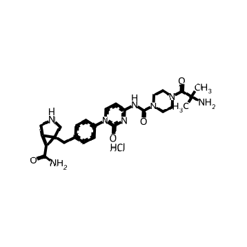 CC(C)(N)C(=O)N1CCN(C(=O)Nc2ccn(-c3ccc(CC45CNCC4C5C(N)=O)cc3)c(=O)n2)CC1.Cl